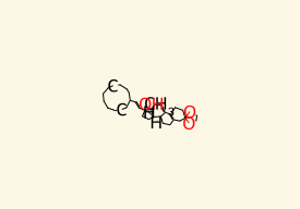 C[C@]12CC=C3C4=C(CC[C@H]3[C@@H]1CC[C@@]2(O)C=CC1CCCCCCCCCCC1)CC1(CC4)OCCO1